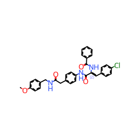 COc1ccc(CNC(=O)Cc2ccc(NC(=O)/C(=C/c3ccc(Cl)cc3)NC(=O)c3ccccc3)cc2)cc1